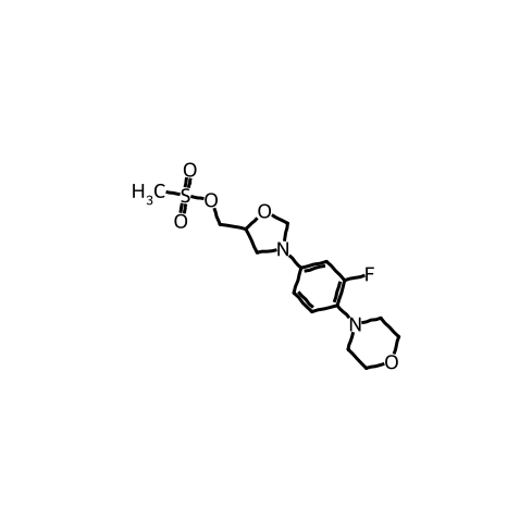 CS(=O)(=O)OCC1CN(c2ccc(N3CCOCC3)c(F)c2)CO1